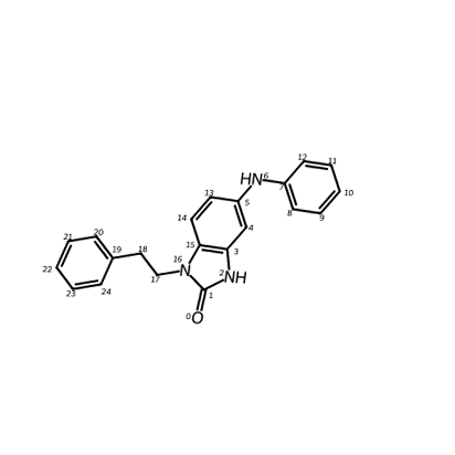 O=c1[nH]c2cc(Nc3ccccc3)ccc2n1CCc1ccccc1